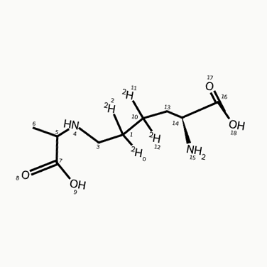 [2H]C([2H])(CNC(C)C(=O)O)C([2H])([2H])C[C@H](N)C(=O)O